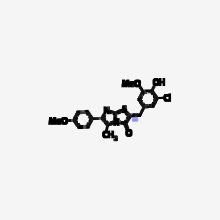 COc1ccc(-c2nc3s/c(=C\c4cc(Cl)c(O)c(OC)c4)c(=O)n3c2C)cc1